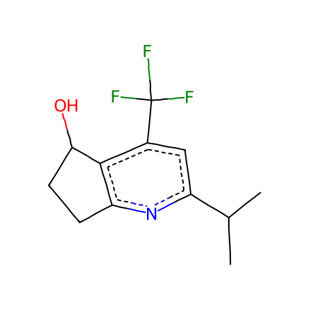 CC(C)c1cc(C(F)(F)F)c2c(n1)CCC2O